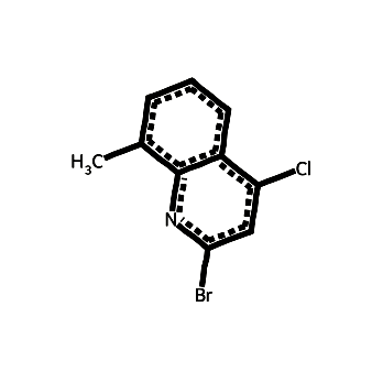 Cc1cccc2c(Cl)cc(Br)nc12